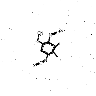 Cc1c(N=C=S)cc(SC#N)c(N=C=S)c1C